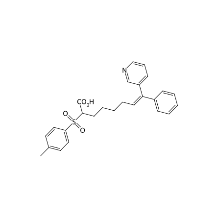 Cc1ccc(S(=O)(=O)C(CCCC/C=C(/c2ccccc2)c2cccnc2)C(=O)O)cc1